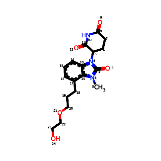 Cn1c(=O)n(C2CCC(=O)NC2=O)c2cccc(CCCOCCO)c21